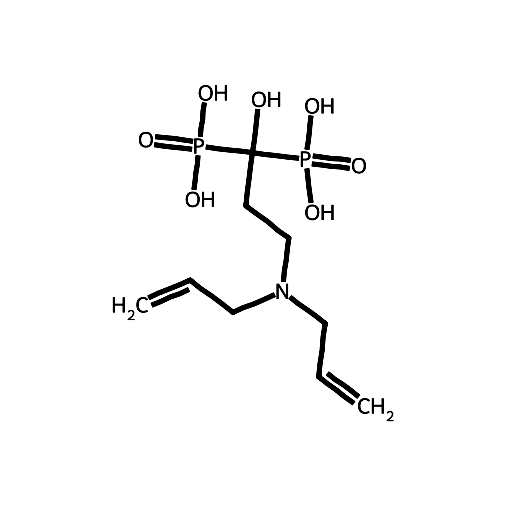 C=CCN(CC=C)CCC(O)(P(=O)(O)O)P(=O)(O)O